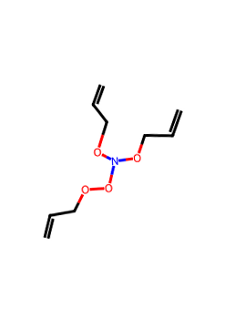 C=CCOON(OCC=C)OCC=C